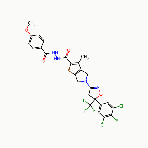 COc1ccc(C(=O)NNC(=O)c2sc3c(c2C)CN(C2=NOC(c4cc(Cl)c(F)c(Cl)c4)(C(F)(F)F)C2)C3)cc1